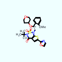 COc1ccccc1[C@H](CN1c2sc(-c3ncco3)cc2C(=O)N(C(C)(C)C(=O)O)S1(=O)=O)OC1CCOCC1